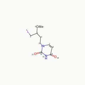 COC(CI)CCn1ccc(=O)[nH]c1=O